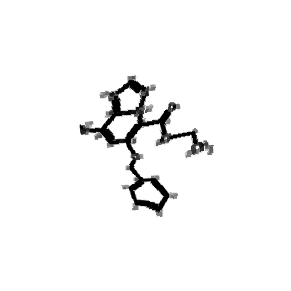 CCOC(=O)c1c(OCc2ccccc2)cc(Br)c2ncnn12